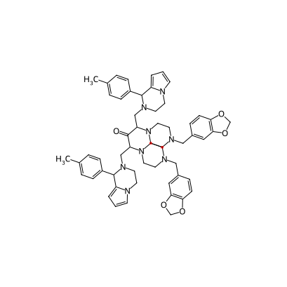 Cc1ccc(C2c3cccn3CCN2CC(C(=O)C(CN2CCn3cccc3C2c2ccc(C)cc2)N2CCN(Cc3ccc4c(c3)OCO4)CC2)N2CCN(Cc3ccc4c(c3)OCO4)CC2)cc1